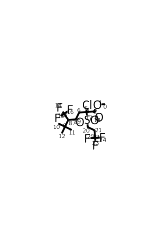 COC(=O)C(Cl)(CCC(C(C)(C)C)C(F)(F)F)S(=O)(=O)CCC(F)(F)F